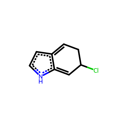 ClC1C=c2[nH]ccc2=CC1